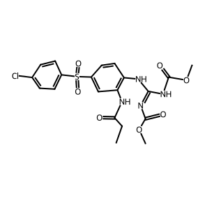 CCC(=O)Nc1cc(S(=O)(=O)c2ccc(Cl)cc2)ccc1NC(=NC(=O)OC)NC(=O)OC